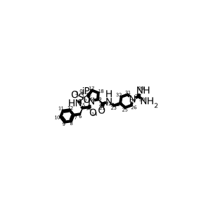 CC(C)S(=O)(=O)N[C@H](Cc1ccccc1)C(=O)N1CCC[C@H]1C(=O)NCC1CCN(C(=N)N)CC1